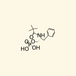 CC(C)(C)C(=O)N[C@@H](COP(=O)(O)O)Cc1ccccc1